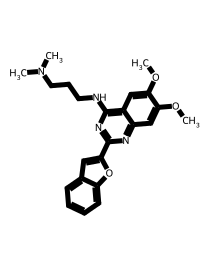 COc1cc2nc(-c3cc4ccccc4o3)nc(NCCCN(C)C)c2cc1OC